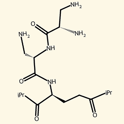 CC(C)C(=O)CC[C@H](NC(=O)[C@H](CN)NC(=O)[C@@H](N)CN)C(=O)C(C)C